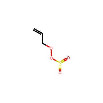 C=CCOO[SH](=O)=O